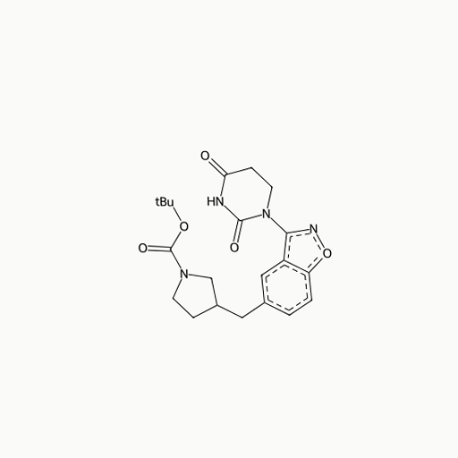 CC(C)(C)OC(=O)N1CCC(Cc2ccc3onc(N4CCC(=O)NC4=O)c3c2)C1